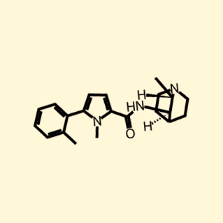 Cc1ccccc1-c1ccc(C(=O)N[C@@H]2C3CCN(CC3)[C@H]2C)n1C